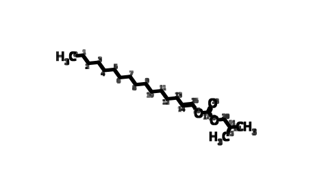 CCCCCCCCCCCCCCC=COC(=O)OCC(C)C